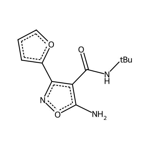 CC(C)(C)NC(=O)c1c(-c2ccco2)noc1N